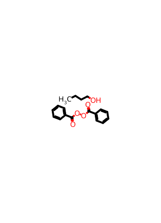 CCCCO.O=C(OOC(=O)c1ccccc1)c1ccccc1